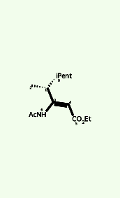 CCC[C@@H](C)[C@@H](C)/C(=C/C(=O)OCC)NC(C)=O